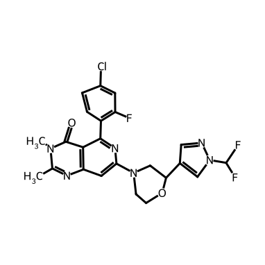 Cc1nc2cc(N3CCOC(c4cnn(C(F)F)c4)C3)nc(-c3ccc(Cl)cc3F)c2c(=O)n1C